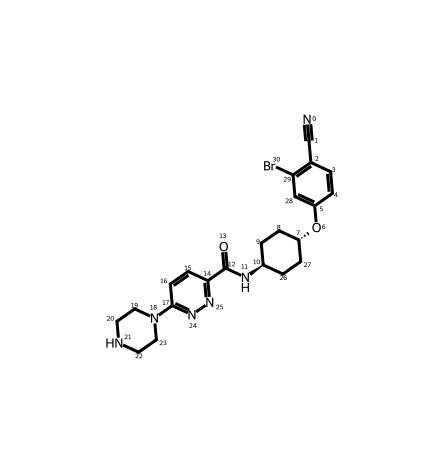 N#Cc1ccc(O[C@H]2CC[C@H](NC(=O)c3ccc(N4CCNCC4)nn3)CC2)cc1Br